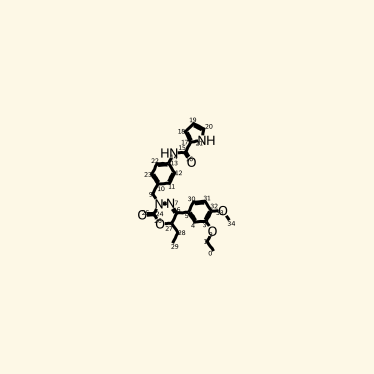 CCOc1cc(C2=NN(Cc3ccc(NC(=O)c4ccc[nH]4)cc3)C(=O)OC2CC)ccc1OC